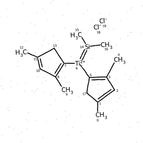 CC1=CC(C)=[C]([Ti+2]([C]2=C(C)C=C(C)C2)=[Si](C)C)C1.[Cl-].[Cl-]